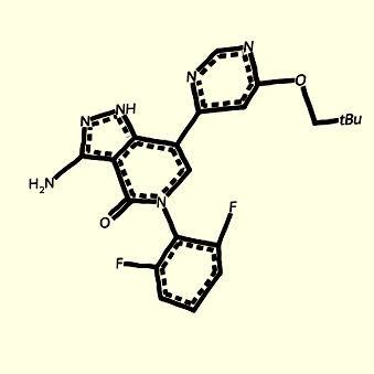 CC(C)(C)COc1cc(-c2cn(-c3c(F)cccc3F)c(=O)c3c(N)n[nH]c23)ncn1